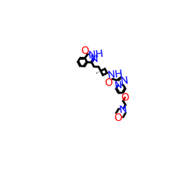 C[C@]1(CCc2n[nH]c(=O)c3ccccc23)C[C@H](NC(=O)c2cnc3cc(OCCN4CCOCC4)ccn23)C1